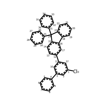 Clc1cc(-c2ccccc2)cc(-c2ccc3c(c2)-c2ccccc2C3(c2ccccc2)c2ccccc2)c1